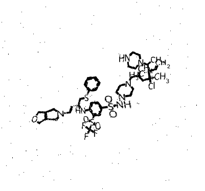 C=C[C@](C)(C(C)N1CCNCC1)[C@](C)(Cl)CC(=C)CN1CCN(NS(=O)(=O)c2ccc(N[C@H](CCN3CC4COCC4C3)CSc3ccccc3)c(S(=O)(=O)C(F)(F)F)c2)CC1